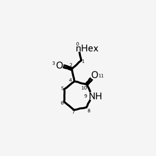 CCCCCCCC(=O)C1CCCCNC1=O